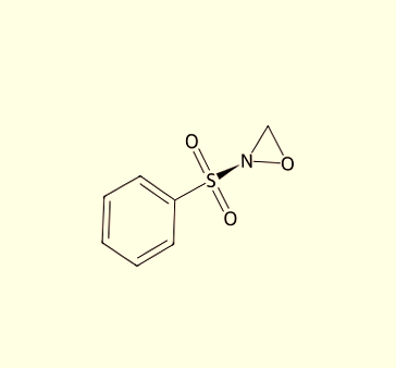 O=S(=O)(c1ccccc1)[N@@]1CO1